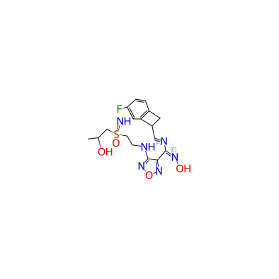 CC(O)CS(=N)(=O)CCNc1nonc1C(/N=C/C1Cc2ccc(F)cc21)=N\O